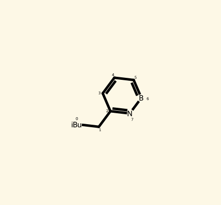 CCC(C)Cc1cccbn1